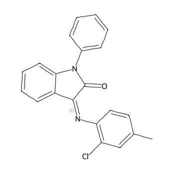 Cc1ccc(/N=C2\C(=O)N(c3ccccc3)c3ccccc32)c(Cl)c1